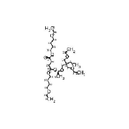 C=COCC(CC)(COC=C)COC=C.C=COCCCCOC(=O)CCC(=O)OCCCCOC=C